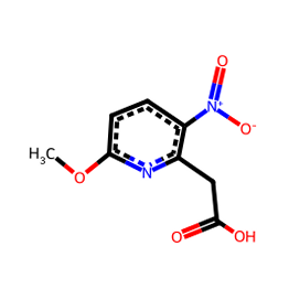 COc1ccc([N+](=O)[O-])c(CC(=O)O)n1